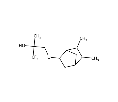 CC1C2CC(OCC(C)(O)C(F)(F)F)C(C2)C1C